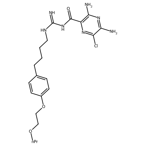 CCCOCCOc1ccc(CCCCNC(=N)NC(=O)c2nc(Cl)c(N)nc2N)cc1